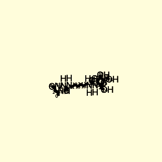 Cc1cc(=O)nc(NC(=O)NCCCCCCNC(=O)N[C@H]2C(CO)O[C@H](CO)C(O)[C@@H]2O)[nH]1